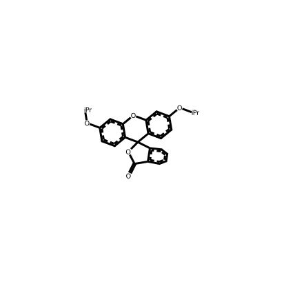 CC(C)Oc1ccc2c(c1)Oc1cc(OC(C)C)ccc1C21OC(=O)c2ccccc21